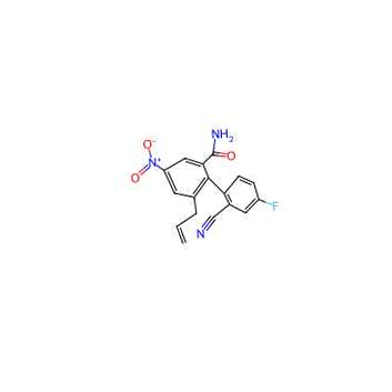 C=CCc1cc([N+](=O)[O-])cc(C(N)=O)c1-c1ccc(F)cc1C#N